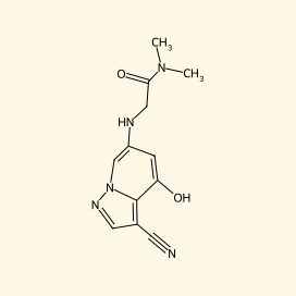 CN(C)C(=O)CNc1cc(O)c2c(C#N)cnn2c1